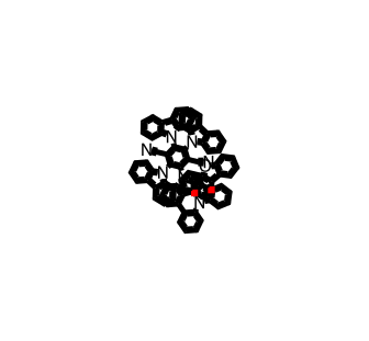 N#Cc1c(-n2c3ccccc3c3ccccc32)c(-n2c3ccccc3c3ccccc32)c(C#N)c(-n2c3cccc(-c4ccccc4-n4c5ccccc5c5ccccc54)c3c3ccc4c5ccccc5oc4c32)c1-n1c2ccccc2c2ccccc21